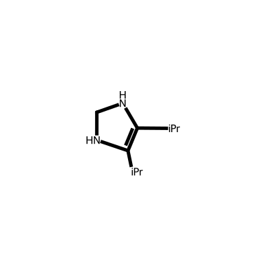 CC(C)C1=C(C(C)C)NCN1